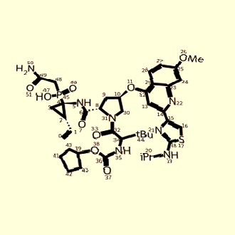 C=C[C@@H]1C[C@]1(NC(=O)[C@@H]1C[C@@H](Oc2cc(-c3csc(NC(C)C)n3)nc3cc(OC)ccc23)CN1C(=O)C(NC(=O)OC1CCCC1)C(C)(C)C)P(=O)(O)CC(N)=O